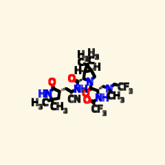 CN(C[C@H](NC(=O)C(F)(F)F)C(=O)N1C[C@H]2[C@@H]([C@H]1C(=O)N[C@H](C#N)C[C@@H]1CC(C)(C)NC1=O)C2(C)C)CC(F)(F)F